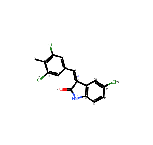 Cc1c(Cl)cc(/C=C2\C(=O)Nc3ccc(Cl)cc32)cc1Cl